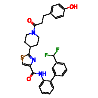 O=C(Nc1ccccc1-c1cccc(C(F)F)c1)c1csc(C2CCN(C(=O)CCc3ccc(O)cc3)CC2)n1